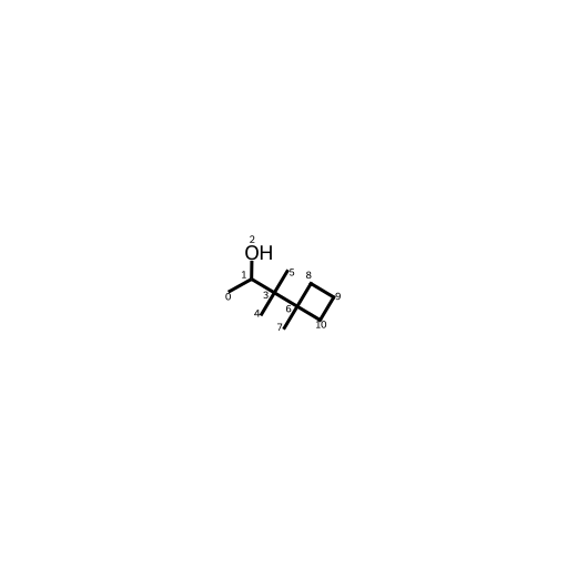 CC(O)C(C)(C)C1(C)CCC1